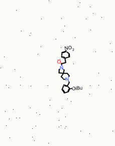 CC(C)COc1ccccc1CN1CCC2(CC1)CCN(C(=O)Cc1ccc([N+](=O)[O-])cc1)C2